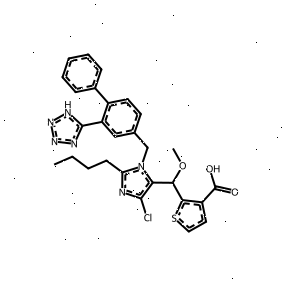 CCCCc1nc(Cl)c(C(OC)c2sccc2C(=O)O)n1Cc1ccc(-c2ccccc2)c(-c2nnn[nH]2)c1